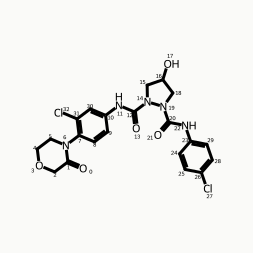 O=C1COCCN1c1ccc(NC(=O)N2CC(O)CN2C(=O)Nc2ccc(Cl)cc2)cc1Cl